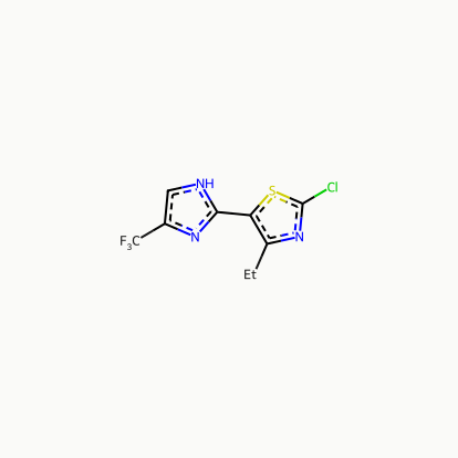 CCc1nc(Cl)sc1-c1nc(C(F)(F)F)c[nH]1